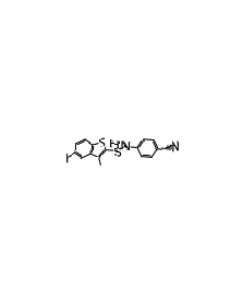 Cc1c(SNc2ccc(C#N)cc2)sc2ccc(I)cc12